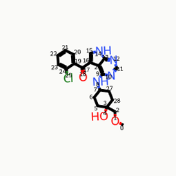 COCC1(O)CCC(Nc2ncnc3[nH]cc(C(=O)c4ccccc4Cl)c23)CC1